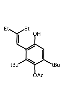 CCC(=Cc1c(O)cc(C(C)(C)C)c(OC(C)=O)c1C(C)(C)C)CC